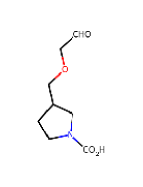 O=CCOCC1CCN(C(=O)O)C1